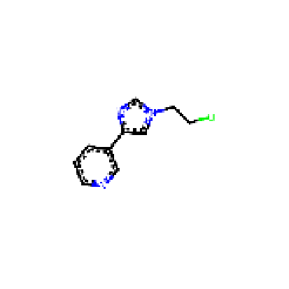 ClCCn1cnc(-c2cccnc2)c1